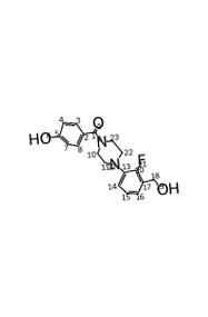 O=C(c1ccc(O)cc1)N1CCN(c2cccc(CO)c2F)CC1